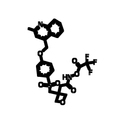 Cc1cc(COc2ccc(S(=O)(=O)CC3(CC(=O)NOC(=O)C(F)(F)F)COC3)cc2)c2ccccc2n1